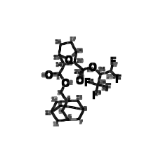 O=C(OCC12CC3CC(CC(C3)C1)C2)C1C2CCC(O2)C1C(=O)OC(C(F)F)C(F)(F)F